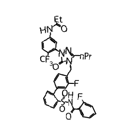 CCCc1nn(-c2cc(NC(=O)CC)ccc2C(F)(F)F)c(=O)n1Cc1ccc(-c2ccccc2S(=O)(=O)NC(=O)c2ccccc2F)cc1F